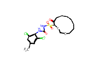 O=C(Nc1c(Cl)cc(C(F)(F)F)cc1Cl)NS(=O)(=O)C1CCCCCCCCCCC1=O